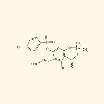 Cc1ccc(S(=O)(=O)Oc2cc3c(c(O)c2COC=O)C(=O)CC(C)(C)O3)cc1